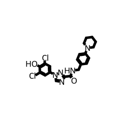 O=C(NCc1ccc(N2CCCCC2)cc1)c1ncn(-c2cc(Cl)c(O)c(Cl)c2)n1